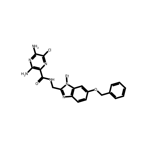 CCn1c(CNC(=O)c2nc(Cl)c(N)nc2N)nc2ccc(OCc3ccccc3)cc21